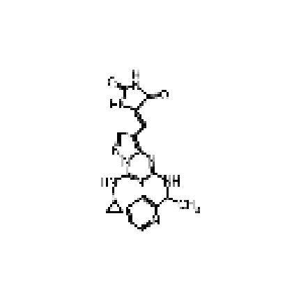 CC(Nc1nc(NC2CC2)n2ncc(C=C3NC(=O)NC3=O)c2n1)c1ccccn1